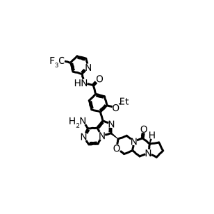 CCOc1cc(C(=O)Nc2cc(C(F)(F)F)ccn2)ccc1-c1nc([C@H]2CN3C(=O)[C@@H]4CCCN4CC3CO2)n2ccnc(N)c12